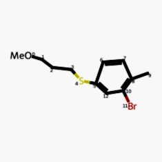 COCCCSc1ccc(C)c(Br)c1